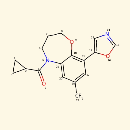 O=C(C1CC1)N1CCCOc2c(-c3cnco3)cc(C(F)(F)F)cc21